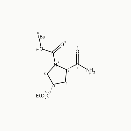 CCOC(=O)[C@H]1C[C@@H](C(N)=O)N(C(=O)OC(C)(C)C)C1